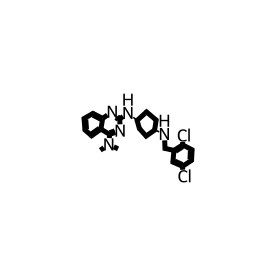 CN(C)c1nc(N[C@H]2CC[C@@H](NCc3cc(Cl)ccc3Cl)CC2)nc2ccccc12